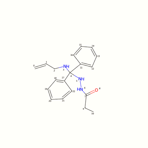 C=CCNC(NNC(=O)CC)(c1ccccc1)c1ccccc1